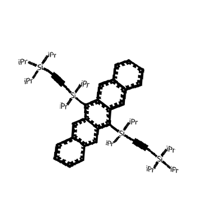 CC(C)[Si](C#C[Si](C(C)C)(C(C)C)C(C)C)(c1c2cc3ccccc3cc2c([Si](C#C[Si](C(C)C)(C(C)C)C(C)C)(C(C)C)C(C)C)c2cc3ccccc3cc12)C(C)C